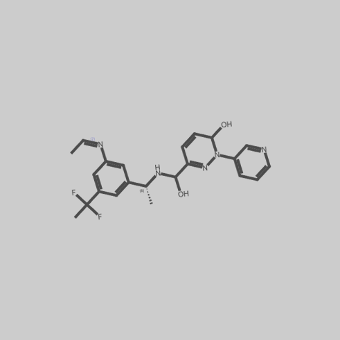 C/C=N\c1cc([C@@H](C)NC(O)C2=NN(c3cccnc3)C(O)C=C2)cc(C(C)(F)F)c1